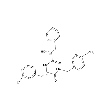 Nc1ccc(CNC(=O)[C@H](Cc2cccc(Cl)c2)NC(=O)[C@H](O)Cc2ccccc2)cn1